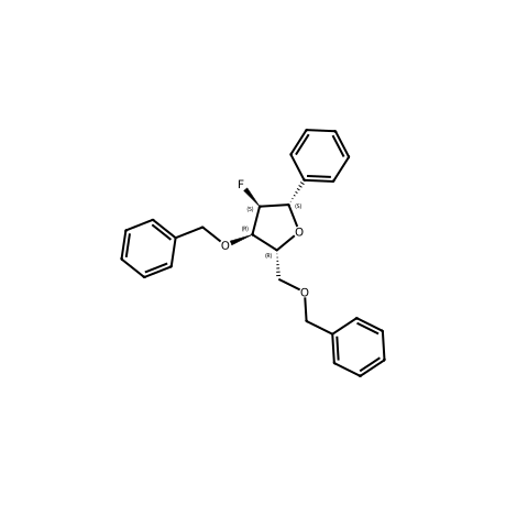 F[C@@H]1[C@H](OCc2ccccc2)[C@@H](COCc2ccccc2)O[C@H]1c1ccccc1